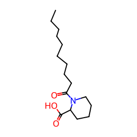 CCCCCCCCCC(=O)N1CCCCC1C(=O)O